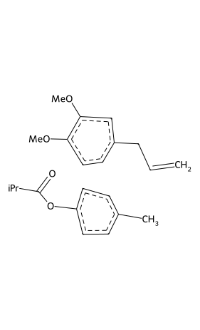 C=CCc1ccc(OC)c(OC)c1.Cc1ccc(OC(=O)C(C)C)cc1